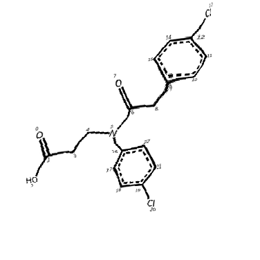 O=C(O)CCN(C(=O)Cc1ccc(Cl)cc1)c1ccc(Cl)cc1